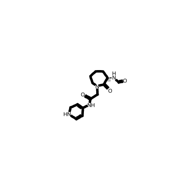 O=[C]N[C@H]1CCCCN(CC(=O)NC2=CCNC=C2)C1=O